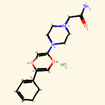 Cl.NC(=O)CN1CCN(C2=COC(C3=CC=CCC3)=CO2)CC1